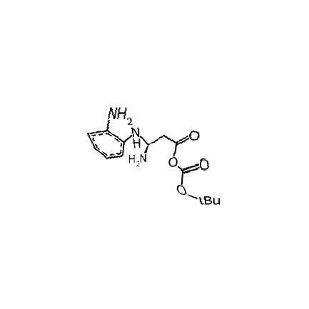 CC(C)(C)OC(=O)OC(=O)C[C@@H](N)Nc1ccccc1N